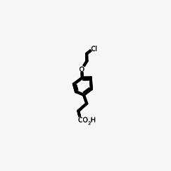 O=C(O)CCc1ccc(OCCCl)cc1